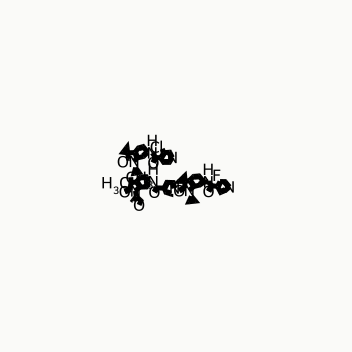 CC1(C)C(=O)N(C2COC2)c2cc(NC(=O)c3ccncc3)ccc21.O=C(Nc1ccc2c(c1)N(C1CC1)C(=O)C21CC1)c1ccncc1Cl.O=C(Nc1ccc2c(c1)N(C1CC1)C(=O)C21CC1)c1ccncc1F